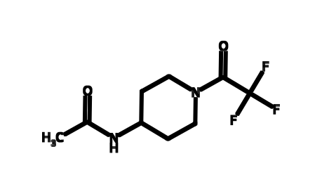 CC(=O)NC1CCN(C(=O)C(F)(F)F)CC1